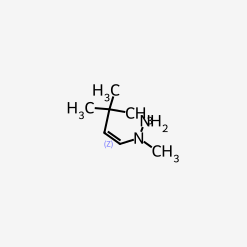 CN(N)/C=C\C(C)(C)C